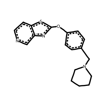 c1cc2sc(Oc3ccc(CN4CCCCC4)cc3)nc2cn1